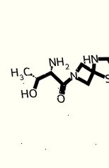 C[C@@H](O)[C@H](N)C(=O)N1CC2(C1)NCCS2